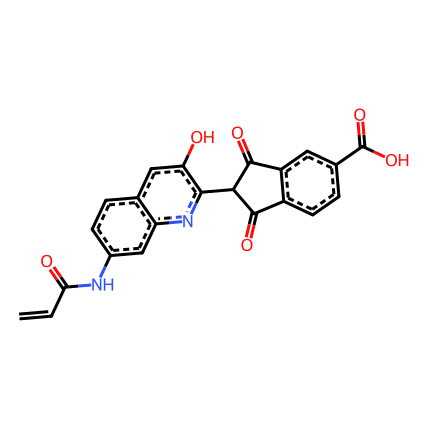 C=CC(=O)Nc1ccc2cc(O)c(C3C(=O)c4ccc(C(=O)O)cc4C3=O)nc2c1